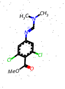 COC(=O)c1c(Cl)cc(/N=C/N(C)C)cc1Cl